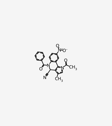 CC(=O)n1cc(C)c2c1-c1cc([N+](=O)[O-])ccc1N(C(=O)c1ccccc1)C2C#N